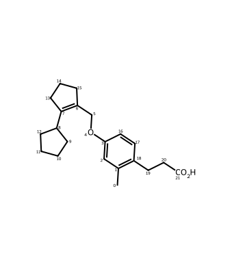 Cc1cc(OCC2=C(C3CCCC3)CCC2)ccc1CCC(=O)O